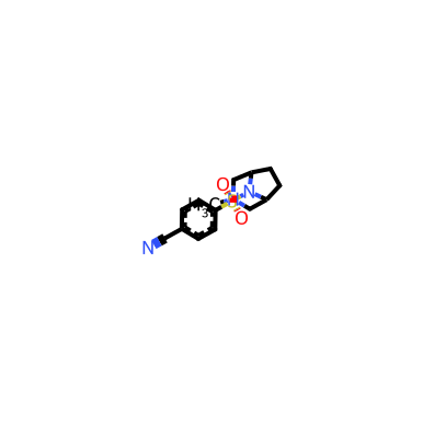 CN1CC2CCC(C1)N2S(=O)(=O)c1ccc(C#N)cc1